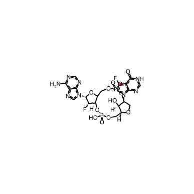 Nc1ncnc2c1ncn2[C@@H]1OC2COP(=O)(O)O[C@]3(n4cc(F)c5c(=O)[nH]cnc54)CO[C@H](COP(=O)(O)O[C@H]2[C@H]1F)[C@H]3O